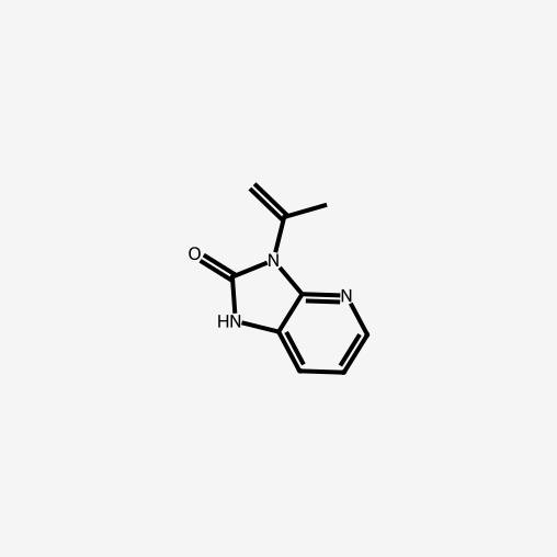 C=C(C)n1c(=O)[nH]c2cccnc21